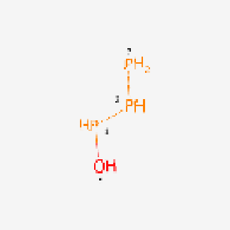 OPPP